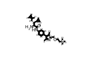 Cc1nn(COCC[Si](C)(C)C)c(C)c1-c1ccc(NC(=O)[C@@H](N)[C@H](CC2(C)CC2)C2CC2)cc1